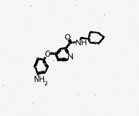 Nc1ccc(Oc2ccnc(C(=O)NCC3CCCCC3)c2)cc1